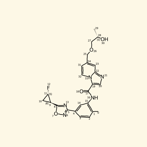 Cc1ccc(-c2noc([C@H]3C[C@@H]3F)n2)cc1NC(=O)c1cnc2cc(COC[C@H](C)O)ccn12